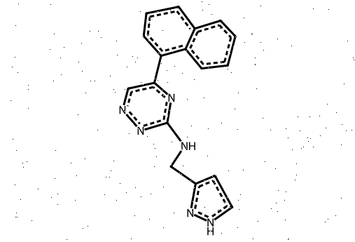 c1ccc2c(-c3cnnc(NCc4cc[nH]n4)n3)cccc2c1